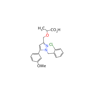 COc1cccc(-c2cc(COC(C)C(=O)O)nn2Cc2ccccc2Cl)c1